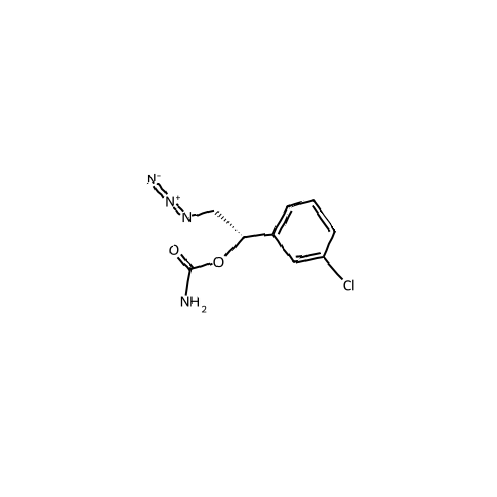 [N-]=[N+]=NC[C@@H](OC(N)=O)c1cccc(Cl)c1